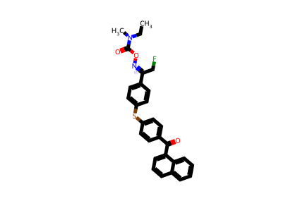 CCN(C)C(=O)O/N=C(\CF)c1ccc(Sc2ccc(C(=O)c3cccc4ccccc34)cc2)cc1